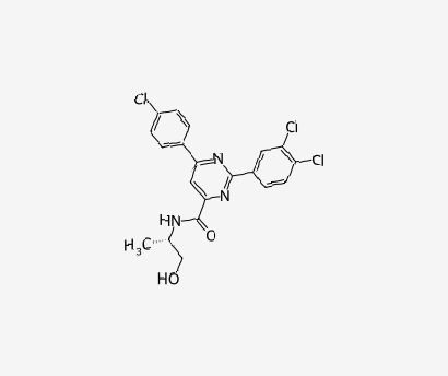 C[C@@H](CO)NC(=O)c1cc(-c2ccc(Cl)cc2)nc(-c2ccc(Cl)c(Cl)c2)n1